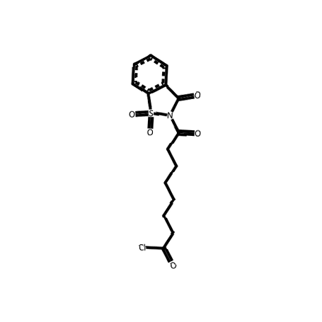 O=C(Cl)CCCCCCC(=O)N1C(=O)c2ccccc2S1(=O)=O